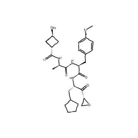 COc1ccc(C[C@H](NC(=O)[C@@H](C)NC(=O)[C@H]2C[C@H](O)C2)C(=O)N[C@@H](CC2CCCC2)C(=O)[C@H]2CO2)cc1